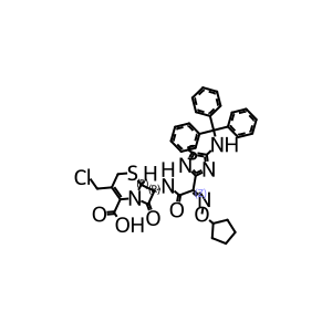 O=C(O)C1=C(CCl)CS[C@@H]2[C@H](NC(=O)/C(=N\OC3CCCC3)c3nsc(NC(c4ccccc4)(c4ccccc4)c4ccccc4)n3)C(=O)N12